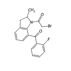 CC1Cc2cccc(C(=O)c3ccccc3F)c2N1C(=O)CBr